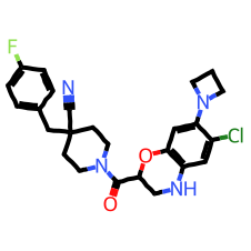 N#CC1(Cc2ccc(F)cc2)CCN(C(=O)C2CNc3cc(Cl)c(N4CCC4)cc3O2)CC1